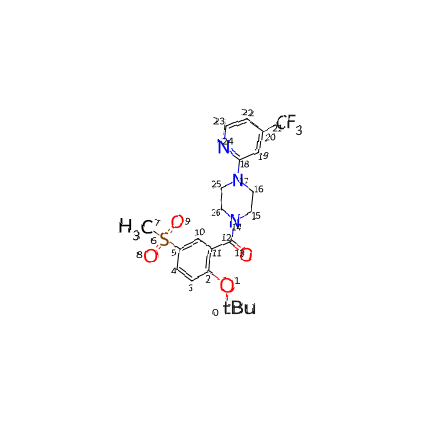 CC(C)(C)Oc1ccc(S(C)(=O)=O)cc1C(=O)N1CCN(c2cc(C(F)(F)F)ccn2)CC1